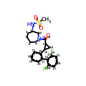 CS(=O)(=O)N[C@@H]1CCCCN(C(=O)C2CC2c2ccccc2-c2c(F)cccc2F)C1